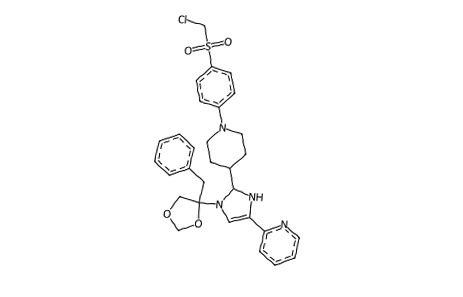 O=S(=O)(CCl)c1ccc(N2CCC(C3NC(c4ccccn4)=CN3C3(Cc4ccccc4)COCO3)CC2)cc1